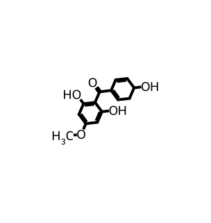 COc1cc(O)c(C(=O)C2=CCC(O)C=C2)c(O)c1